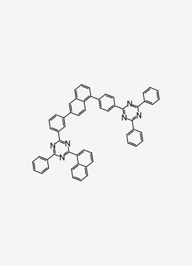 c1ccc(-c2nc(-c3ccccc3)nc(-c3ccc(-c4cccc5cc(-c6cccc(-c7nc(-c8ccccc8)nc(-c8cccc9ccccc89)n7)c6)ccc45)cc3)n2)cc1